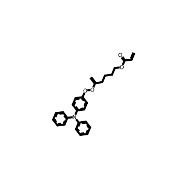 C=CC(=O)OCCCCC(=C)OOc1ccc(N(c2ccccc2)c2ccccc2)cc1